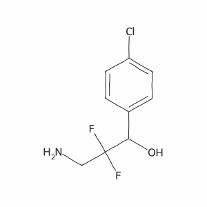 NCC(F)(F)C(O)c1ccc(Cl)cc1